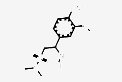 CCOc1cc(C(CS(=O)(=O)N(C)C)NO)ccc1OC